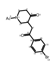 CC(=O)N1CCC(=O)C(CC(=O)c2ccc(Br)cc2)C1